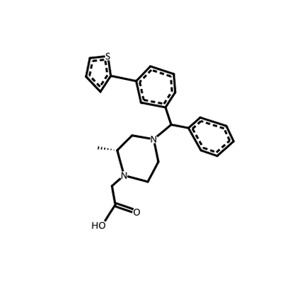 C[C@@H]1CN(C(c2ccccc2)c2cccc(-c3cccs3)c2)CCN1CC(=O)O